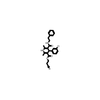 CC1=C(C(=O)NCCc2ccccc2)C(c2cccc(Cl)c2)C(C(=O)OCCC#N)=C(C)N1